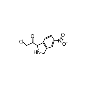 O=C(CCl)C1NCc2cc([N+](=O)[O-])ccc21